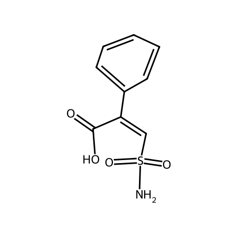 NS(=O)(=O)C=C(C(=O)O)c1ccccc1